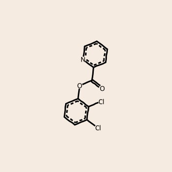 O=C(Oc1cccc(Cl)c1Cl)c1ccccn1